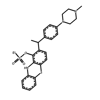 CCS(=O)(=O)Oc1c(C(C)c2ccc(N3CCN(C)CC3)cc2)ccc2c1Nc1ccccc1S2